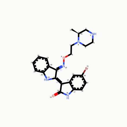 C[C@H]1CNCCN1CCO/N=C1/C(=C2/C(=O)Nc3ccc(Br)cc32)Nc2ccccc21